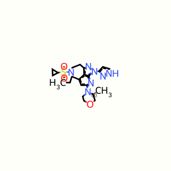 CCC1c2cc(N3CCOC[C@H]3C)nc3c2c(nn3-c2cc[nH]n2)CCN1S(=O)(=O)C1CC1